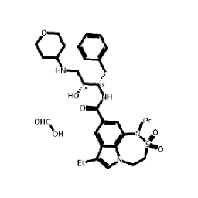 CCc1cn2c3c(cc(C(=O)N[C@@H](Cc4ccccc4)[C@H](O)CNC4CCOCC4)cc13)N(C(C)C)S(=O)(=O)CC2.O=CO